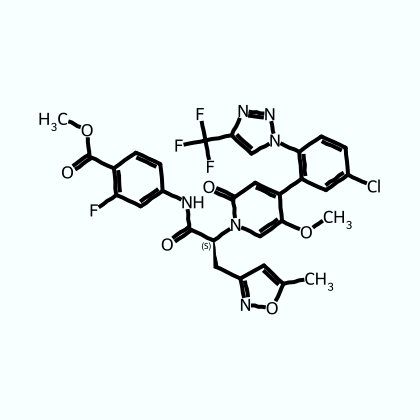 COC(=O)c1ccc(NC(=O)[C@H](Cc2cc(C)on2)n2cc(OC)c(-c3cc(Cl)ccc3-n3cc(C(F)(F)F)nn3)cc2=O)cc1F